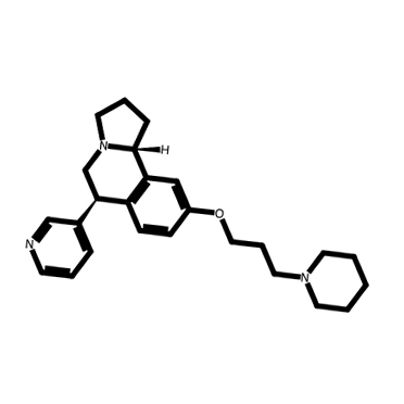 c1cncc([C@H]2CN3CCC[C@@H]3c3cc(OCCCN4CCCCC4)ccc32)c1